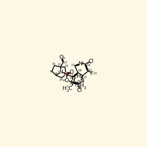 CC(C)(C)OC(=O)N1C2CCC1(C=O)CN(c1nc(Cl)nc3c(F)c(Cl)ncc13)C2